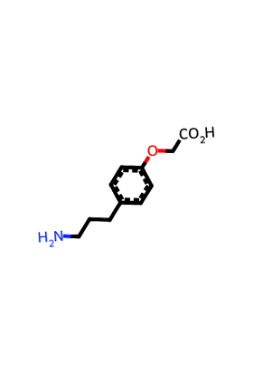 NCCCc1ccc(OCC(=O)O)cc1